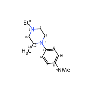 CCN1CCN(c2ccc(NC)cc2)C(C)C1